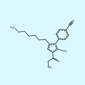 CSCCCCCc1cc(C(=O)CN)c(C)n1-c1ccc(C#N)cc1